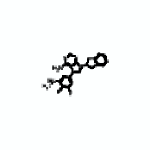 CNc1cc(-c2cn(C3Cc4ccccc4C3)c3ncnc(N)c23)cc(F)c1F